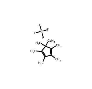 CC1=C(C)[C](C)([GeH3])C(C)=C1C.F[B-](F)(F)F